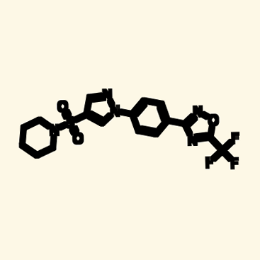 O=S(=O)(c1cnn(-c2ccc(-c3noc(C(F)(F)F)n3)cc2)c1)N1CCCCC1